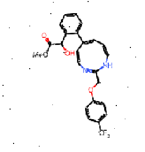 COC(=O)C(O)c1ccccc1-c1ccc[nH]c(COc2ccc(C(F)(F)F)cc2)ncc1